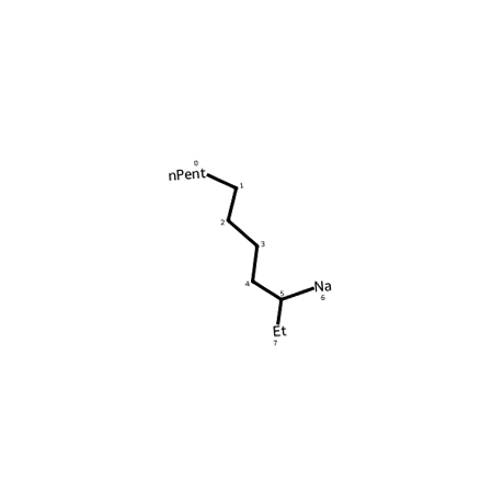 CCCCCCCCC[CH]([Na])CC